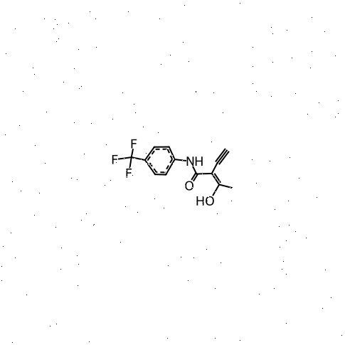 C#C/C(C(=O)Nc1ccc(C(F)(F)F)cc1)=C(\C)O